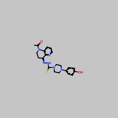 CC(=O)N1CC/C(=N/NC(=S)N2CCN(c3ccc(O)cc3)CC2)c2ncccc21